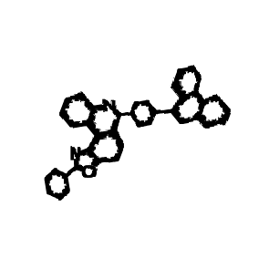 c1ccc(-c2nc3c(ccc4c(-c5ccc(-c6cc7ccccc7c7ccccc67)cc5)nc5ccccc5c43)o2)cc1